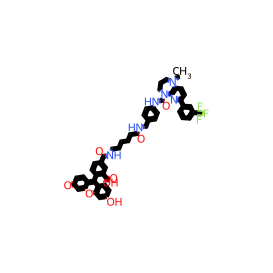 CCN1CCCN(C(=O)Nc2ccc(CNC(=O)CCCCCNC(=O)c3ccc(-c4c5ccc(=O)cc-5oc5cc(O)ccc45)c(C(=O)O)c3)cc2)c2nc(-c3cccc(C(F)(F)F)c3)ccc21